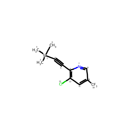 C[Si](C)(C)C#Cc1ncc(C(F)(F)F)cc1Cl